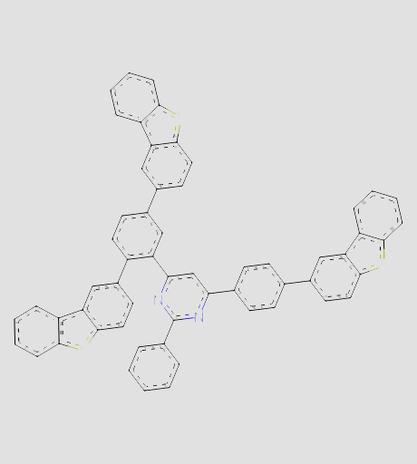 c1ccc(-c2nc(-c3ccc(-c4ccc5sc6ccccc6c5c4)cc3)cc(-c3cc(-c4ccc5sc6ccccc6c5c4)ccc3-c3ccc4sc5ccccc5c4c3)n2)cc1